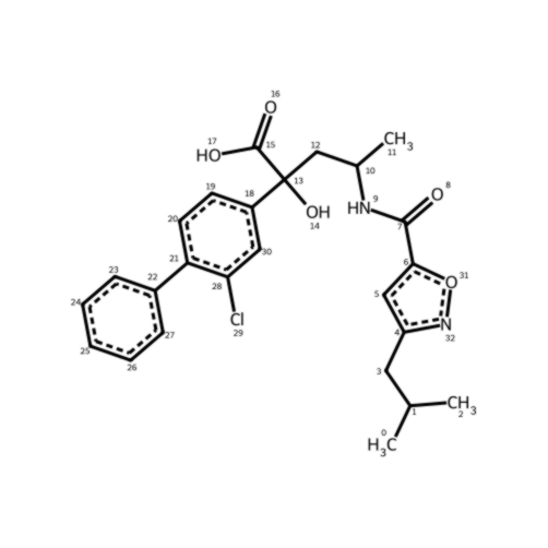 CC(C)Cc1cc(C(=O)NC(C)CC(O)(C(=O)O)c2ccc(-c3ccccc3)c(Cl)c2)on1